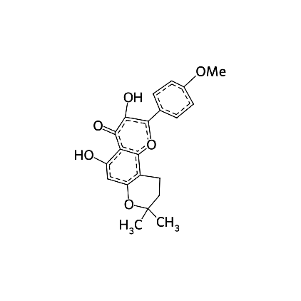 COc1ccc(-c2oc3c4c(cc(O)c3c(=O)c2O)OC(C)(C)CC4)cc1